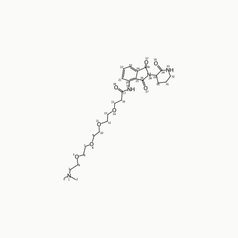 CN(C)CCOCCOCCOCCOCCC(=O)Nc1cccc2c1C(=O)N(C1CCCNC1=O)C2=O